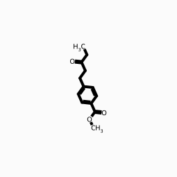 CCC(=O)CCc1ccc(C(=O)OC)cc1